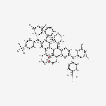 Cc1cc(C)cc(N(c2ccc(C(C)(C)C)cc2)c2ccc3c(-c4ccccc4)c(-c4c(-c5ccccc5)cc(N(c5ccc(C(C)(C)C)cc5)c5cc(C)cc(C)c5)c5c4oc4ccccc45)c4ccccc4c3c2)c1